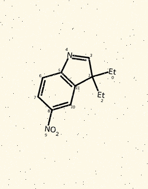 CCC1(CC)C=Nc2ccc([N+](=O)[O-])cc21